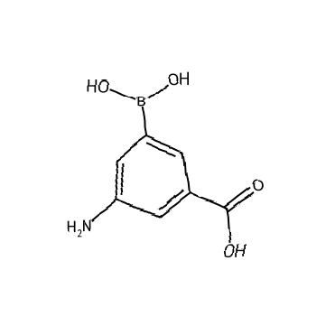 Nc1cc(B(O)O)cc(C(=O)O)c1